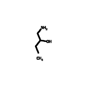 C.CCC(O)CN